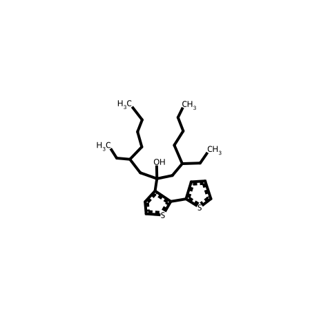 CCCCC(CC)CC(O)(CC(CC)CCCC)c1ccsc1-c1cccs1